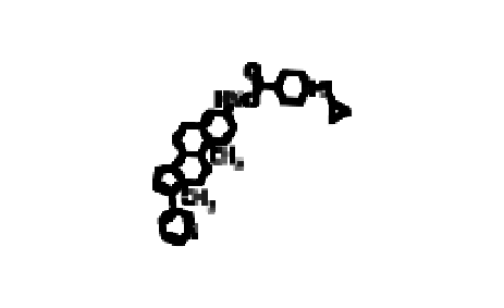 CC12CCC(NOC(=O)C3CCN(SC4CC4)CC3)C=C1CCC1C2CCC2(C)C(c3cccnc3)=CCC12